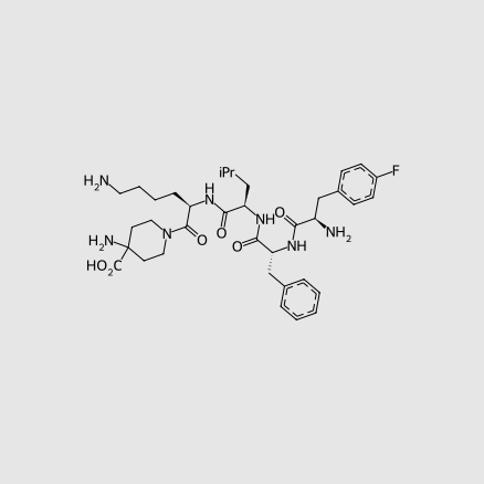 CC(C)C[C@@H](NC(=O)[C@@H](Cc1ccccc1)NC(=O)[C@H](N)Cc1ccc(F)cc1)C(=O)N[C@H](CCCCN)C(=O)N1CCC(N)(C(=O)O)CC1